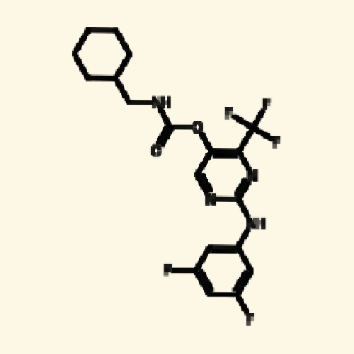 O=C(NCC1CCCCC1)Oc1cnc(Nc2cc(F)cc(F)c2)nc1C(F)(F)F